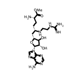 COC(=O)[C@@H](N)CC[C@@H](C[C@H]1O[C@@H](n2cnc3c(N)ncnc32)[C@@H](O)C1O)NCCNC(=N)N